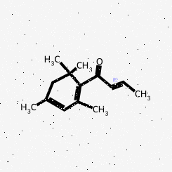 C/C=C/C(=O)C1=C(C)C=C(C)CC1(C)C